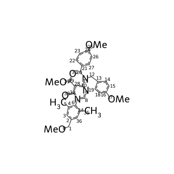 COCc1cc(C)c(-n2cnc(N(Cc3ccc(OC)cc3)Cc3ccc(OC)cc3)c(C(=O)OC)c2=O)c(C)c1